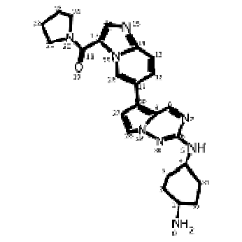 N[C@H]1CC[C@@H](Nc2ncc3c(-c4ccc5ncc(C(=O)N6CCCC6)n5c4)ccn3n2)CC1